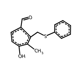 Cc1c(O)ccc(C=O)c1CSc1ccccc1